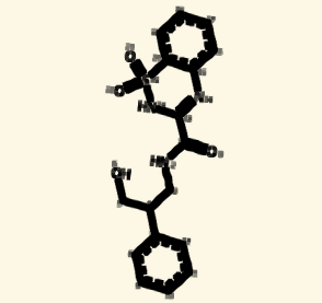 O=C(NCC(CO)c1ccccc1)C1=Nc2ccccc2S(=O)(=O)N1